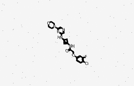 O=C(COc1ccc(Cl)c(F)c1)NC12CC(Nc3cncc(N4CCOCC4)n3)(C1)C2